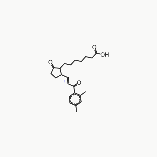 Cc1ccc(C(=O)/C=C/C2CCC(=O)C2CCCCCCC(=O)O)c(C)c1